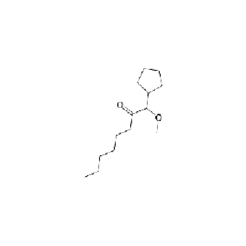 CCCCCCC(=O)C(OC)C1CCCC1